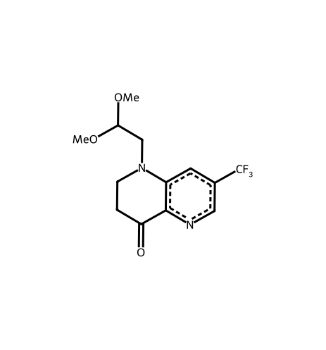 COC(CN1CCC(=O)c2ncc(C(F)(F)F)cc21)OC